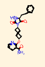 NC(=O)c1cccnc1O[C@H]1CC2(C1)C[C@H](N1C(=O)NC(CCc3ccccc3)C1=O)C2